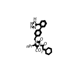 CCCc1c(C(=O)O)n(C(=O)CC2CCCCC2)c(=O)n1Cc1ccc(-c2ccccc2-c2nnn[nH]2)cc1